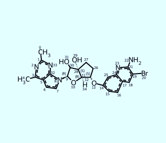 Cc1nc(C)c2ccn([C@@H]3O[C@@H]4[C@@H](Oc5ccc6cc(Br)c(N)nc6c5)CC[C@]4(O)C3O)c2n1